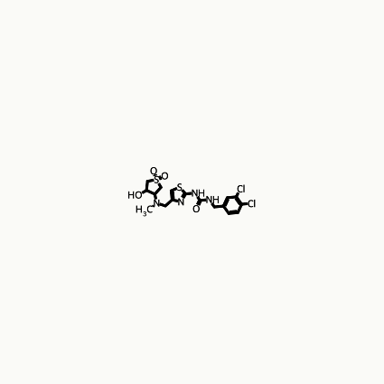 CN(Cc1csc(NC(=O)NCc2ccc(Cl)c(Cl)c2)n1)C1CS(=O)(=O)CC1O